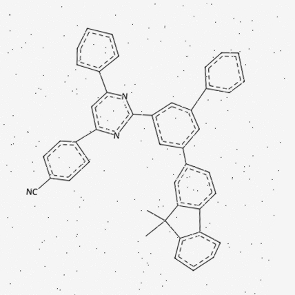 CC1(C)c2ccccc2-c2ccc(-c3cc(-c4ccccc4)cc(-c4nc(-c5ccccc5)cc(-c5ccc(C#N)cc5)n4)c3)cc21